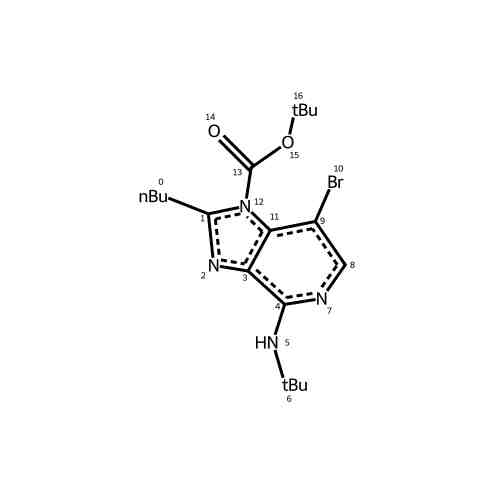 CCCCc1nc2c(NC(C)(C)C)ncc(Br)c2n1C(=O)OC(C)(C)C